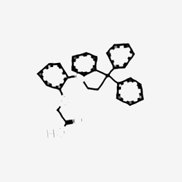 O=C(O)COc1ccccc1OCCC(c1ccccc1)(c1ccccc1)c1ccccc1